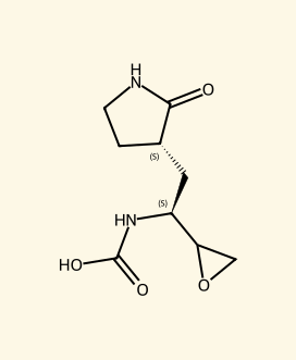 O=C(O)N[C@@H](C[C@@H]1CCNC1=O)C1CO1